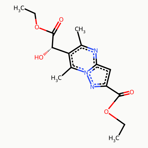 CCOC(=O)c1cc2nc(C)c([C@H](O)C(=O)OCC)c(C)n2n1